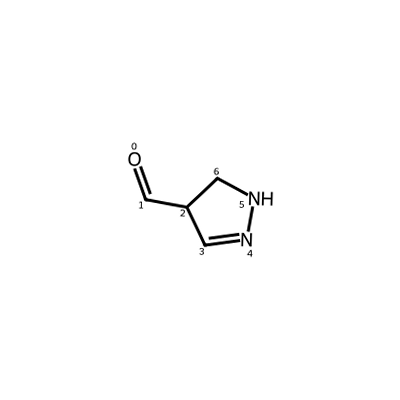 O=CC1C=NNC1